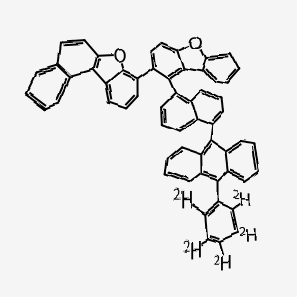 [2H]c1c([2H])c([2H])c(-c2c3ccccc3c(-c3cccc4c(-c5c(-c6cccc7c6oc6ccc8ccccc8c67)ccc6oc7ccccc7c56)cccc34)c3ccccc23)c([2H])c1[2H]